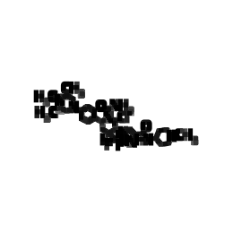 C[C@@H]1CN(c2ccc(C3=CC(F)(C(F)(F)F)C(n4cc(C(=O)NC5CCN(C)CC5)nn4)=C(Cl)N3C(N)=O)cc2)C[C@H](C)N1C